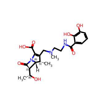 C[C@@H](O)[C@H]1C(=O)N2C(C(=O)O)=C(CN(C)CCNC(=O)c3cccc(O)c3O)[C@H](C)[C@H]12